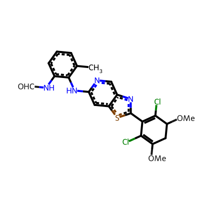 COC1=C(Cl)C(c2nc3cnc(Nc4c(C)cccc4NC=O)cc3s2)=C(Cl)C(OC)C1